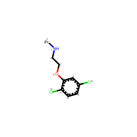 CC(C)NCCOc1cc(Cl)ccc1Cl